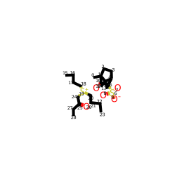 CC12CCC(C(S(=O)(=O)[O-])C1=O)C2(C)C.CCCC[S+](CCCC)CC(=O)CC